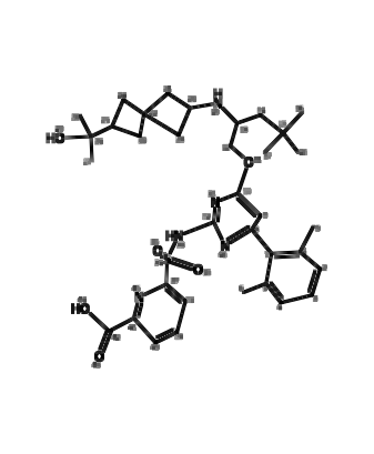 Cc1cccc(C)c1-c1cc(OCC(CC(C)(C)C)NC2CC3(C2)CC(C(C)(C)O)C3)nc(NS(=O)(=O)c2cccc(C(=O)O)n2)n1